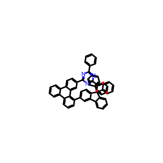 c1ccc(-c2nc(-c3ccccc3)nc(-c3ccc4c5ccccc5c5cccc(-c6ccc7c(c6)-c6ccccc6C7(c6ccccc6)c6ccccc6)c5c4c3)n2)cc1